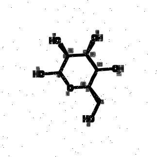 OC[C@H]1OC(O)[C@@H](O)[C@@H](O)C1O